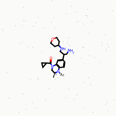 CC(=O)N1c2ccc(C(CN)CNC3CCOCC3)cc2N(C(=O)C2CC2)C[C@@H]1C